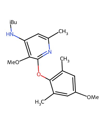 CCC(C)Nc1cc(C)nc(Oc2c(C)cc(OC)cc2C)c1OC